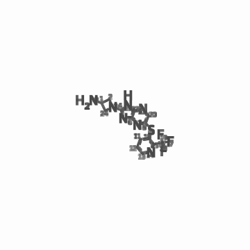 NC1CN(c2nc3nc(Sc4cccnc4C(F)(F)F)cnc3[nH]2)C1